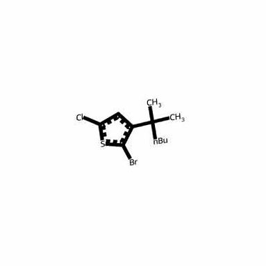 CCCCC(C)(C)c1cc(Cl)sc1Br